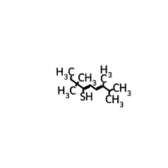 CCC(C)(C)/C(S)=C/C=C(\C)C(C)C